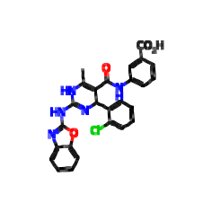 CC1=C(C(=O)Nc2cccc(C(=O)O)c2)C(c2ccccc2Cl)N=C(Nc2nc3ccccc3o2)N1